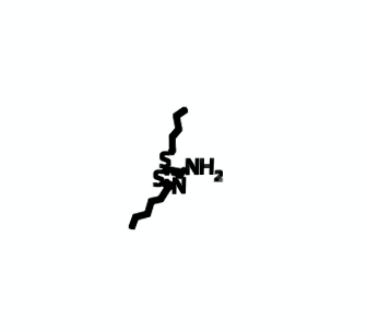 CCCCCSc1sc(CCCCC)nc1N